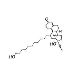 CC#C[C@]1(O)CC[C@H]2[C@@H]3CCC4=CC(=O)CCC4=C3[C@@H](CCCCCCCCCCCO)C[C@@]21C